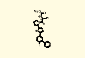 COC(=O)N[C@H](C(=O)N1CCCC1c1ncc(-c2ccc(I)c(-c3cccnc3)c2)[nH]1)C(C)C